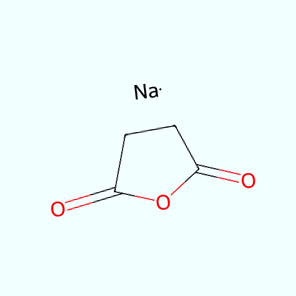 O=C1CCC(=O)O1.[Na]